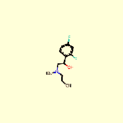 CC(C)(C)N(CCC#N)CC(O)c1ccc(F)cc1F